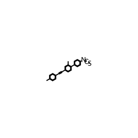 Cc1ccc(C#Cc2ccc(-c3ccc(N=C=S)cc3)c(C)c2)cc1